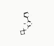 CCn1c(SC2(C(C)=O)CCC2)nnc1-c1cccs1